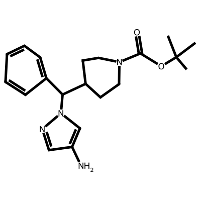 CC(C)(C)OC(=O)N1CCC(C(c2ccccc2)n2cc(N)cn2)CC1